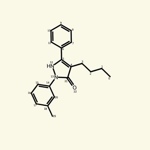 CCCCc1c(-c2ccccc2)[nH]n(-c2cccc(C)c2)c1=O